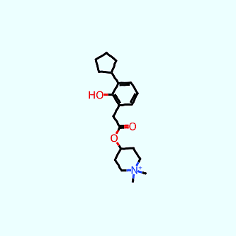 C[N+]1(C)CCC(OC(=O)Cc2cccc(C3CCCC3)c2O)CC1